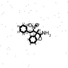 CC(C(N)=O)(c1ccccc1)C(Cc1ccccc1)[N+](=O)[O-]